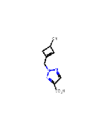 N#CC1C=C(Cn2ncc(C(=O)O)n2)C1